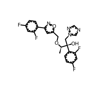 C[C@@H](OCc1cc(-c2ccc(F)cc2F)no1)[C@](O)(Cn1cncn1)c1ccc(F)cc1F